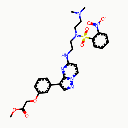 COC(=O)COc1cccc(-c2cnn3ccc(NCCN(CCN(C)C)S(=O)(=O)c4ccccc4[N+](=O)[O-])nc23)c1